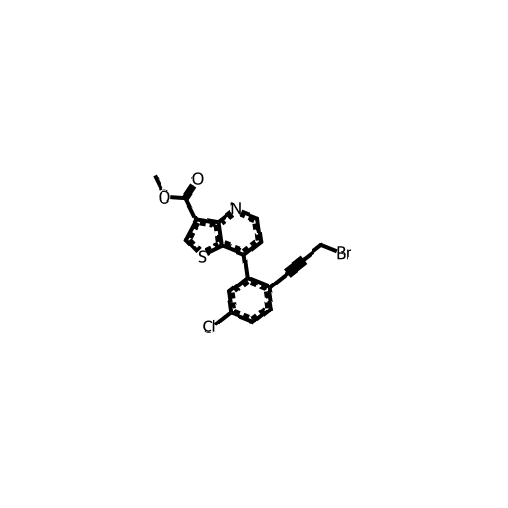 COC(=O)c1csc2c(-c3cc(Cl)ccc3C#CCBr)ccnc12